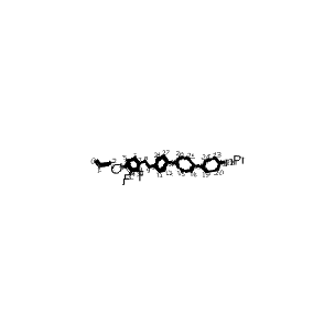 C/C=C/Oc1ccc(CCc2ccc(C3CCC(C4CCC(CCC)CC4)CC3)cc2)c(F)c1F